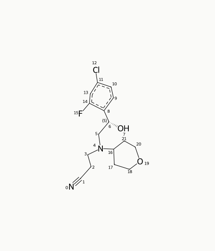 N#CCCN(C[C@@H](O)c1ccc(Cl)cc1F)C1CCOCC1